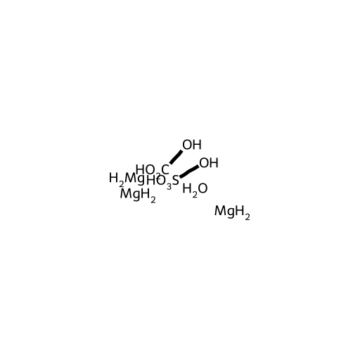 O.O=C(O)O.O=S(=O)(O)O.[MgH2].[MgH2].[MgH2]